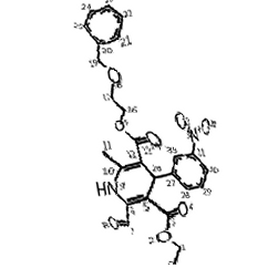 CCOC(=O)C1=C(C=O)NC(C)=C(C(=O)OCCOCc2ccccc2)C1c1cccc([N+](=O)[O-])c1